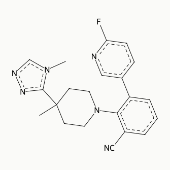 Cn1cnnc1C1(C)CCN(c2c(C#N)cccc2-c2ccc(F)nc2)CC1